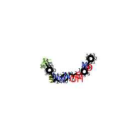 OC(COc1ccc2oc(-c3ccccc3)nc2c1)CN1CCN(Cc2csc(-c3ccc(C(F)(F)F)cc3)n2)CC1